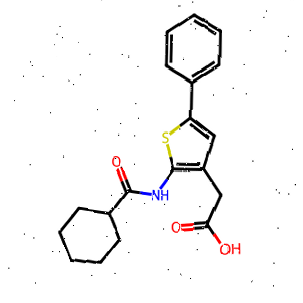 O=C(O)Cc1cc(-c2ccccc2)sc1NC(=O)C1CCCCC1